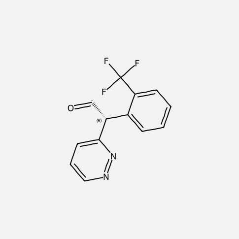 O=[C][C@@H](c1cccnn1)c1ccccc1C(F)(F)F